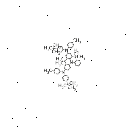 Cc1ccc(N(c2ccc(C(C)(C)C)cc2)c2ccc3c(c2)C(C)(C)c2cc(N(c4ccc(C)cc4)c4ccc(C(C)(C)C)cc4)cc4c2N3c2ccccc2C4(C)C)cc1